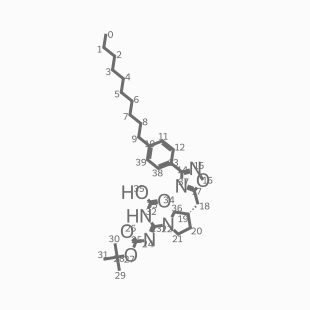 CCCCCCCCCCc1ccc(-c2noc(C[C@@H]3CCN(/C(=N/C(=O)OC(C)(C)C)NC(=O)O)C3)n2)cc1